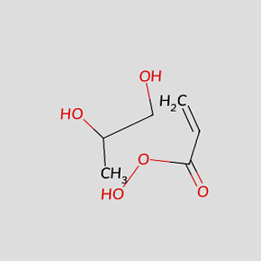 C=CC(=O)OO.CC(O)CO